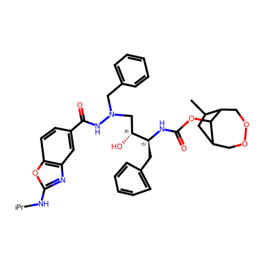 CC(C)Nc1nc2cc(C(=O)NN(Cc3ccccc3)C[C@@H](O)[C@H](Cc3ccccc3)NC(=O)OC3C4COOCC3C(C)C4)ccc2o1